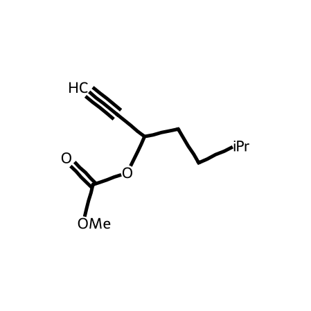 C#CC(CCC(C)C)OC(=O)OC